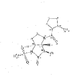 CCC[C@H]1C(=O)N(S(C)(=O)=O)[C@H]2CCN(C(=O)C3CCCN3C)[C@H]12